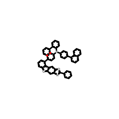 c1ccc(-c2nc3cc4oc5cccc(-c6ccc(N(c7ccc(-c8cccc9ccccc89)cc7)c7ccccc7-c7ccccc7)cc6)c5c4cc3o2)cc1